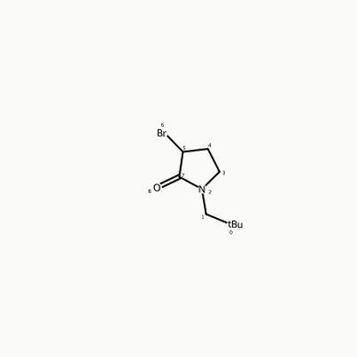 CC(C)(C)CN1CCC(Br)C1=O